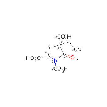 N#CC[C@]1(C(=O)O)C[C@@H](C(=O)O)N(C(=O)O)C1=O